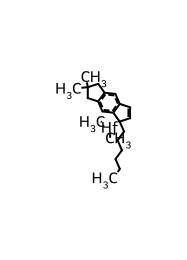 CCCCCC[C]1([Hf]([CH3])[CH3])C=Cc2cc3c(cc21)CC(C)(C)C3